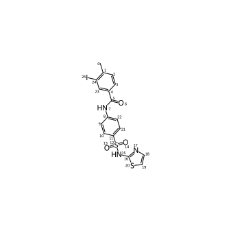 Cc1ccc(C(=O)Nc2ccc(S(=O)(=O)Nc3nccs3)cc2)cc1I